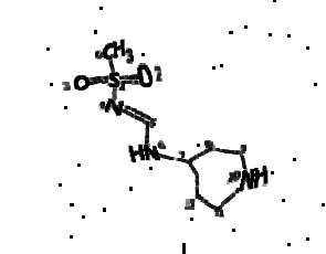 CS(=O)(=O)N=CNC1CCNCC1